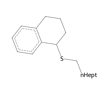 CCCCCCCCSC1CCCc2ccccc21